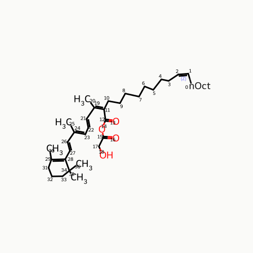 CCCCCCCC/C=C\CCCCCCCCC(C(=O)OC(=O)CO)=C(C)C=CC=C(C)C=CC1=C(C)CCCC1(C)C